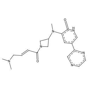 CN(C)C/C=C/C(=O)N1CC(N(C)c2cc(-c3cnccn3)c[nH]c2=O)C1